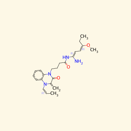 C=C1C(=O)N(CCCC(=O)N/C(N)=C/C=C(\CC)OC)c2ccccc2N1/C=C\C